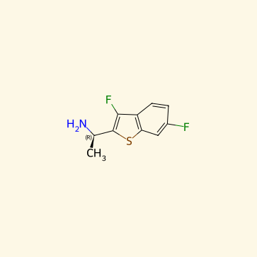 C[C@@H](N)c1sc2cc(F)ccc2c1F